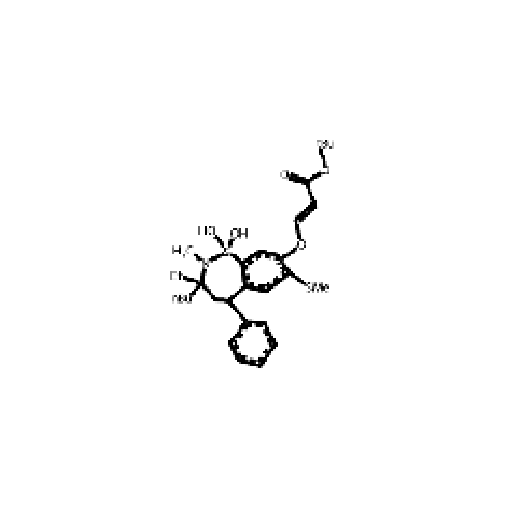 CCCCC1(CC)CC(c2ccccc2)c2cc(SC)c(O/C=C/C(=O)OC(C)(C)C)cc2S(O)(O)N1C